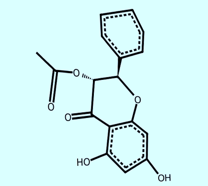 CC(=O)O[C@H]1C(=O)c2c(O)cc(O)cc2O[C@@H]1c1ccccc1